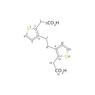 O=C(O)Cc1sccc1CCc1ccsc1CC(=O)O